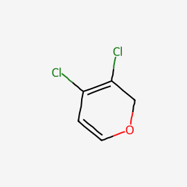 ClC1=C(Cl)COC=C1